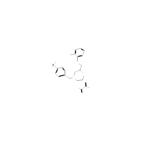 COc1ccccc1OCC1CN(Cc2ccc(C(F)(F)F)cc2)CCO1.O=C(O)C(=O)O